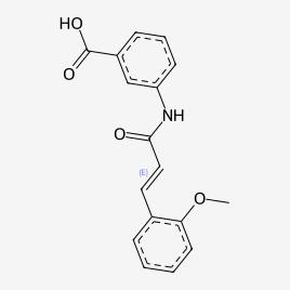 COc1ccccc1/C=C/C(=O)Nc1cccc(C(=O)O)c1